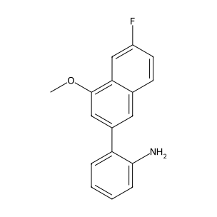 COc1cc(-c2ccccc2N)cc2ccc(F)cc12